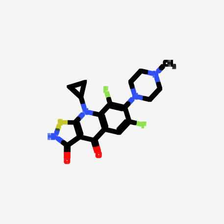 CN1CCN(c2c(F)cc3c(=O)c4c(=O)[nH]sc4n(C4CC4)c3c2F)CC1